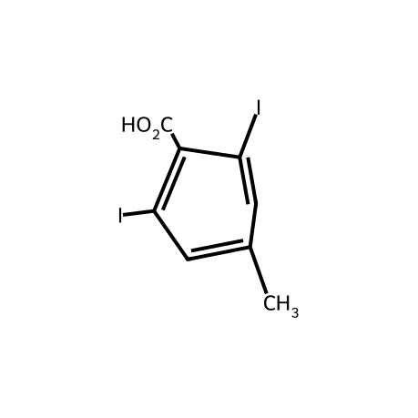 Cc1cc(I)c(C(=O)O)c(I)c1